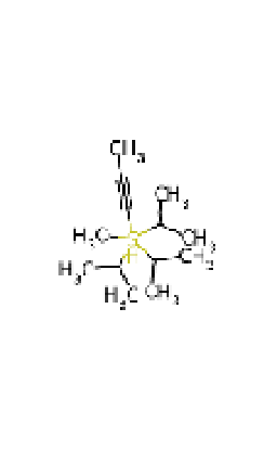 CC#C[SH](C)(C(C)C)(C(C)C)C(C)C